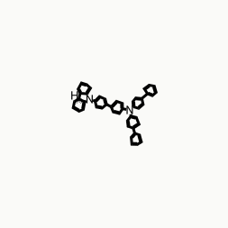 C1=CC[C@H]2C(=C1)N(c1ccc(-c3ccc(N(c4ccc(-c5ccccc5)cc4)c4ccc(-c5ccccc5)cc4)cc3)cc1)c1ccccc12